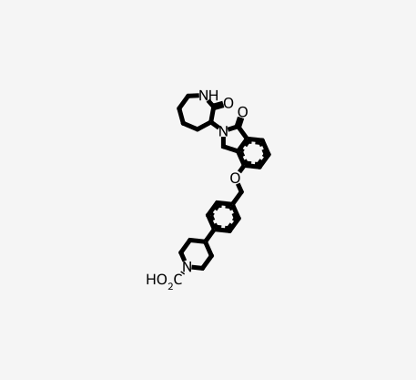 O=C1NCCCCC1N1Cc2c(OCc3ccc(C4CCN(C(=O)O)CC4)cc3)cccc2C1=O